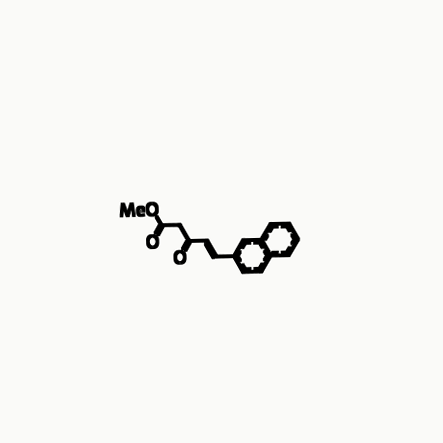 COC(=O)CC(=O)C=Cc1ccc2ccccc2c1